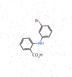 O=C(O)c1ccccc1Nc1cccc(Br)c1